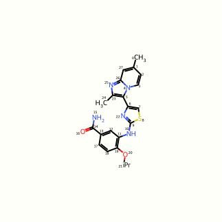 Cc1ccn2c(-c3csc(Nc4cc(C(N)=O)ccc4OC(C)C)n3)c(C)nc2c1